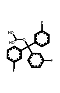 OB(O)OC(c1cccc(F)c1)(c1cccc(F)c1)c1cccc(F)c1